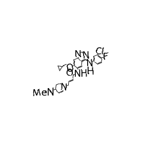 CNC1CCN(C/C=C/C(=O)Nc2cc3c(Nc4ccc(F)c(Cl)c4)ncnc3cc2OCC2CC2)CC1